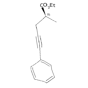 CCOC(=O)[C@@H](C)CC#Cc1ccccc1